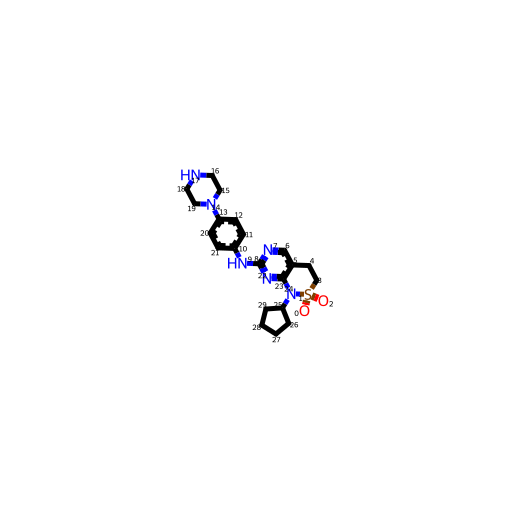 O=S1(=O)CCc2cnc(Nc3ccc(N4CCNCC4)cc3)nc2N1C1CCCC1